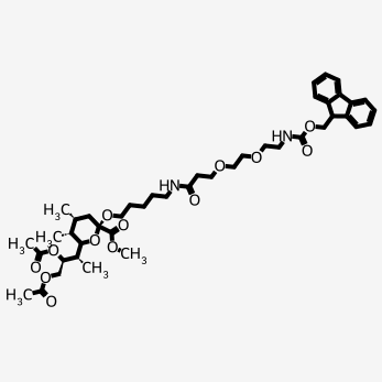 COC(=O)[C@@]1(OCCCCCNC(=O)CCOCCOCCNC(=O)OCC2c3ccccc3-c3ccccc32)C[C@@H](C)[C@@H](C)C([C@H](C)[C@@H](COC(C)=O)OC(C)=O)O1